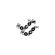 C[C@]1(COc2ccc(N3CCC(Oc4ccc(OC(F)(F)F)cc4)CC3)cc2)CO1.Oc1ccc(N2CCC(Oc3ccc(OC(F)(F)F)cc3)CC2)cc1